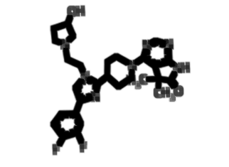 CC1(C)C(=O)Nc2ncnc(N3CCC(c4nc(-c5ccc(F)c(F)c5)cn4CCN4CCC(O)C4)CC3)c21